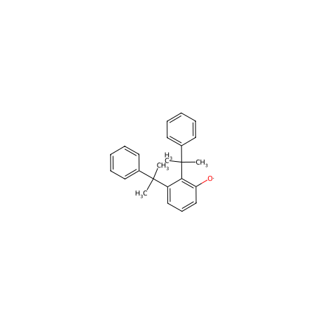 CC(C)(c1ccccc1)c1cccc([O])c1C(C)(C)c1ccccc1